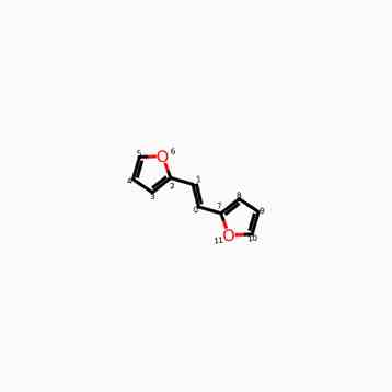 C(=Cc1ccco1)c1ccco1